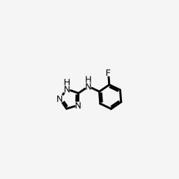 Fc1ccccc1Nc1ncn[nH]1